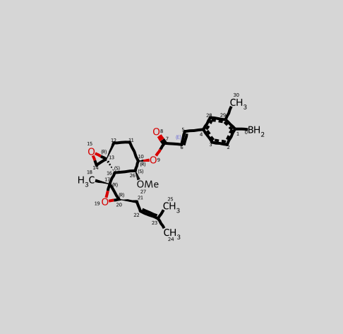 Bc1ccc(/C=C/C(=O)O[C@@H]2CC[C@]3(CO3)[C@@H]([C@@]3(C)O[C@@H]3CC=C(C)C)[C@@H]2OC)cc1C